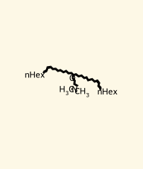 CCCCCC/C=C/C=C\CCCCCCCCC(CCCCCCCC/C=C\C=C\CCCCCC)OCCCN(C)C